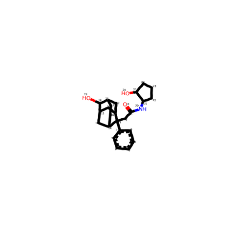 O=C(CC1(c2ccccc2)C2CC3CC1CC(C2)C3O)NC1CCCC1O